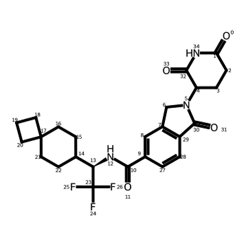 O=C1CCC(N2Cc3cc(C(=O)N[C@H](C4CCC5(CCC5)CC4)C(F)(F)F)ccc3C2=O)C(=O)N1